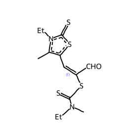 CCN(C)C(=S)S/C(C=O)=C/c1sc(=S)n(CC)c1C